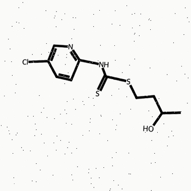 CC(O)CCSC(=S)Nc1ccc(Cl)cn1